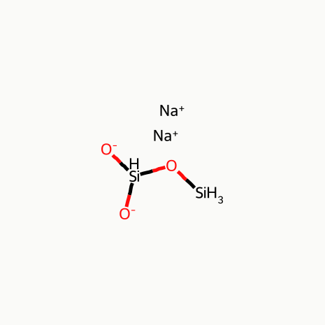 [Na+].[Na+].[O-][SiH]([O-])O[SiH3]